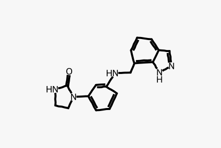 O=C1NCCN1c1cccc(NCc2cccc3cn[nH]c23)c1